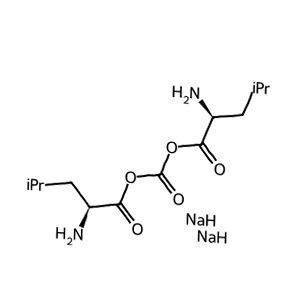 CC(C)C[C@H](N)C(=O)OC(=O)OC(=O)[C@@H](N)CC(C)C.[NaH].[NaH]